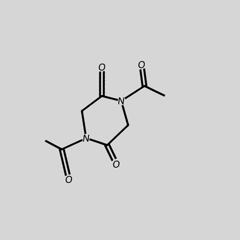 CC(=O)N1CC(=O)N(C(C)=O)CC1=O